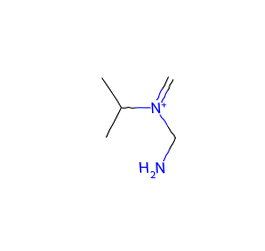 C=[N+](CN)C(C)C